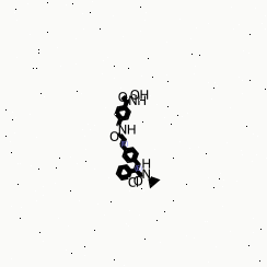 O=C(/C=C/c1ccc(/C=C(/C(=O)NC2CC2)c2ccccc2Cl)cc1)NCc1ccc(C(=O)NO)cc1